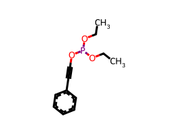 CCOP(OC#Cc1ccccc1)OCC